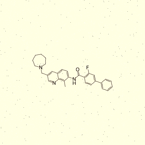 Cc1c(NC(=O)c2ccc(-c3ccccc3)cc2F)ccc2cc(CN3CCCCCC3)cnc12